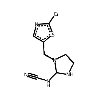 N#CNC1NCCN1Cc1cnc(Cl)s1